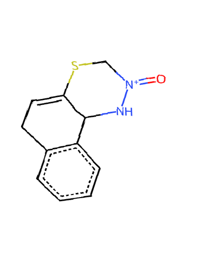 O=[N+]1CSC2=CCc3ccccc3C2N1